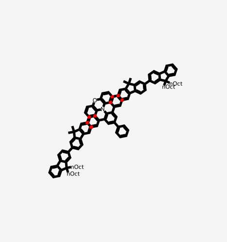 CCCCCCCCC1(CCCCCCCC)c2ccccc2-c2ccc(-c3ccc4c(c3)C(C)(C)c3cc(-c5ccc6c(c5)N(c5c(-c7ccccc7)cc(-c7ccccc7)cc5-c5ccccc5)c5cc(-c7ccc8c(c7)C(C)(C)c7cc(-c9ccc%10c(c9)C(CCCCCCCC)(CCCCCCCC)c9ccccc9-%10)ccc7-8)ccc5O6)ccc3-4)cc21